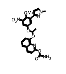 COc1c(-c2ccn(C)n2)cc(OC(C)Oc2cccc3ccc(OC(N)=O)nc23)cc1[N+](=O)[O-]